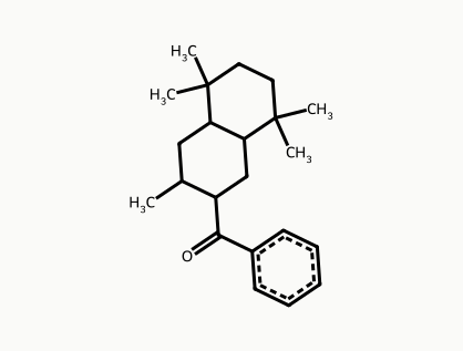 CC1CC2C(CC1C(=O)c1ccccc1)C(C)(C)CCC2(C)C